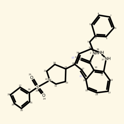 O=C(NCc1ccccc1)C1=C2C=CC=C/C1=C\C(C1CCN(S(=O)(=O)c3ccccc3)CC1)=C/CNN2